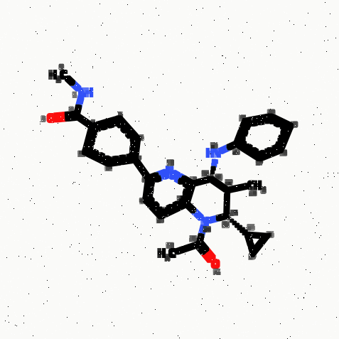 CNC(=O)c1ccc(-c2ccc3c(n2)[C@H](Nc2ccccc2)C(C)[C@H](C2CC2)N3C(C)=O)cc1